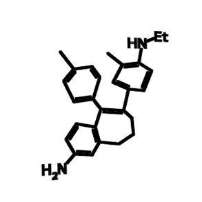 CCNc1ccc(C2=C(c3ccc(C)cc3)c3ccc(N)cc3CCC2)cc1C